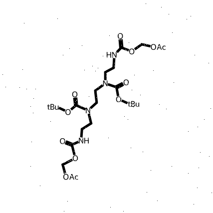 CC(=O)OCOC(=O)NCCN(CCN(CCNC(=O)OCOC(C)=O)C(=O)OC(C)(C)C)C(=O)OC(C)(C)C